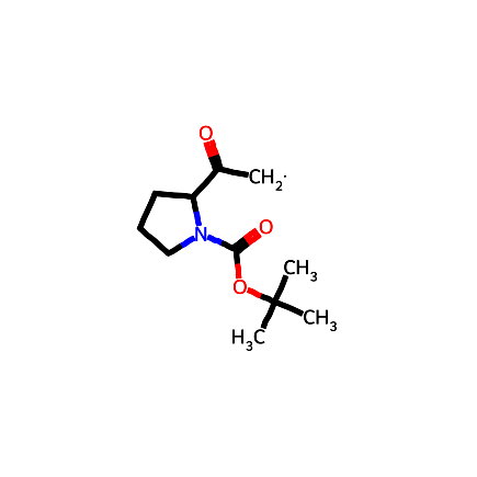 [CH2]C(=O)C1CCCN1C(=O)OC(C)(C)C